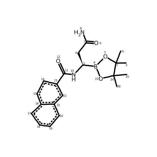 CC1(C)OB([C@H](CC(N)=O)NC(=O)c2ccc3ccccc3c2)OC1(C)C